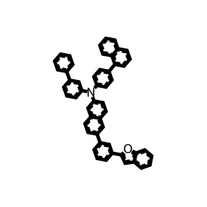 c1ccc(-c2cccc(N(c3ccc(-c4cccc5ccccc45)cc3)c3ccc4cc(-c5cccc(-c6cc7ccccc7o6)c5)ccc4c3)c2)cc1